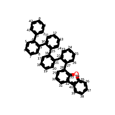 c1ccc(-c2ccccc2-c2ccccc2-c2ccccc2-c2ccccc2-c2cccc3c2oc2ccccc23)cc1